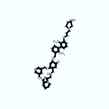 Cc1c(COc2cc(OCc3cncc(C#N)c3)c(CNCc3ncc4ccccn34)cc2Cl)cccc1-c1cccc(OCCCN2CC[C@@H](O)C2)c1C